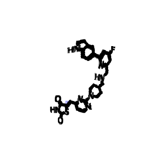 O=C1NC(=O)/C(=C/c2ccnc(N3CCC(CNCc4cc(F)cc(-c5ccc6[nH]ccc6c5)n4)CC3)n2)S1